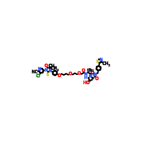 Cc1ncsc1-c1ccc(CNC(=O)[C@@H]2C[C@@H](O)CN2C(=O)C(NC(=O)COCCCOCCCCOc2ccc(N3C(=S)N(c4cnc(C#N)c(Cl)c4)C(=O)C3(C)C)cc2)C(C)(C)C)cc1